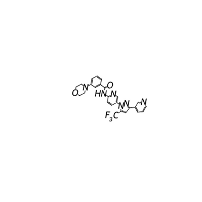 O=C(Nc1ccc(-n2nc(-c3cccnc3)cc2C(F)(F)F)cn1)c1cccc(N2CCOCC2)c1